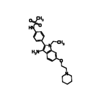 CCn1c(-c2ccc(NS(C)(=O)=O)cc2)c(N)c2ccc(OCCN3CCCCC3)cc21